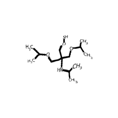 CC(C)NC(COS)(COC(C)C)COC(C)C